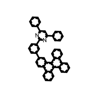 c1ccc(-c2cc(-c3ccccc3)nc(-c3cccc(-c4ccc5c6ccccc6c6c7ccccc7c7ccccc7c6c5c4)c3)n2)cc1